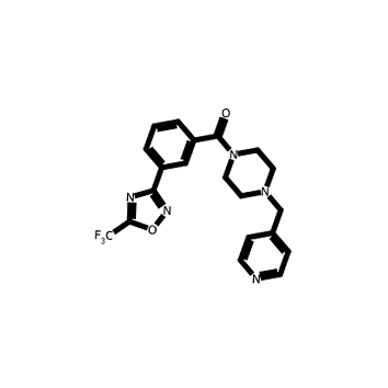 O=C(c1cccc(-c2noc(C(F)(F)F)n2)c1)N1CCN(Cc2ccncc2)CC1